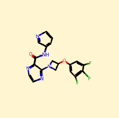 O=C(Nc1cccnc1)c1nccnc1N1CC(Oc2cc(F)c(F)c(F)c2)C1